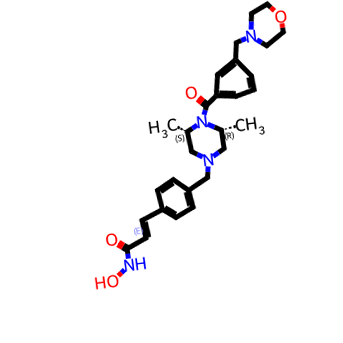 C[C@@H]1CN(Cc2ccc(/C=C/C(=O)NO)cc2)C[C@H](C)N1C(=O)c1cccc(CN2CCOCC2)c1